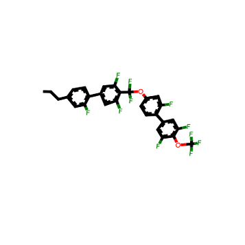 CCCc1ccc(-c2cc(F)c(C(F)(F)Oc3ccc(-c4cc(F)c(OC(F)(F)F)c(F)c4)c(F)c3)c(F)c2)c(F)c1